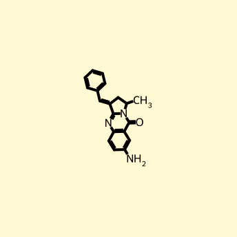 CC1CC(=Cc2ccccc2)c2nc3ccc(N)cc3c(=O)n21